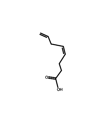 C=CC/C=C\CCC(=O)O